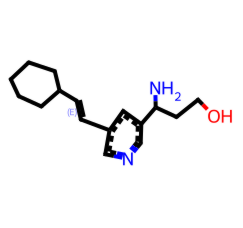 NC(CCO)c1cncc(/C=C/C2CCCCC2)c1